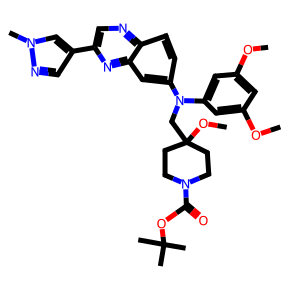 COc1cc(OC)cc(N(CC2(OC)CCN(C(=O)OC(C)(C)C)CC2)c2ccc3ncc(-c4cnn(C)c4)nc3c2)c1